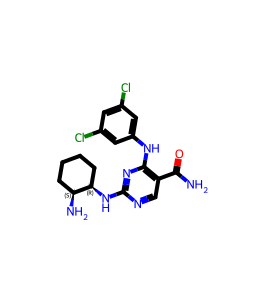 NC(=O)c1cnc(N[C@@H]2CCCC[C@@H]2N)nc1Nc1cc(Cl)cc(Cl)c1